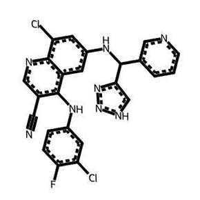 N#Cc1cnc2c(Cl)cc(NC(c3cccnc3)c3c[nH]nn3)cc2c1Nc1ccc(F)c(Cl)c1